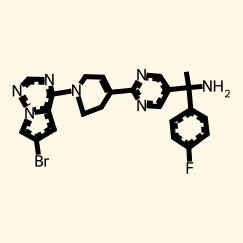 CC(N)(c1ccc(F)cc1)c1cnc(C2=CCN(c3ncnn4cc(Br)cc34)CC2)nc1